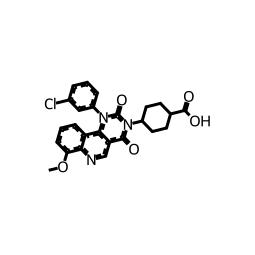 COc1cccc2c1ncc1c(=O)n(C3CCC(C(=O)O)CC3)c(=O)n(-c3cccc(Cl)c3)c12